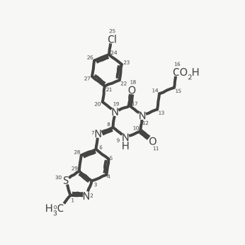 Cc1nc2ccc(/N=c3\[nH]c(=O)n(CCCC(=O)O)c(=O)n3Cc3ccc(Cl)cc3)cc2s1